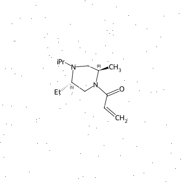 C=CC(=O)N1C[C@H](CC)N(C(C)C)C[C@H]1C